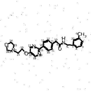 Cc1cccc(CNC(=O)Cc2ccc(-c3ncc(OCCN4CCOCC4)cn3)cc2)c1